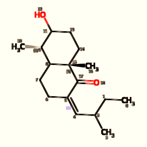 CCC(C)/C=C1/CCC2[C@H](C)C(O)CC[C@]2(C)C1=O